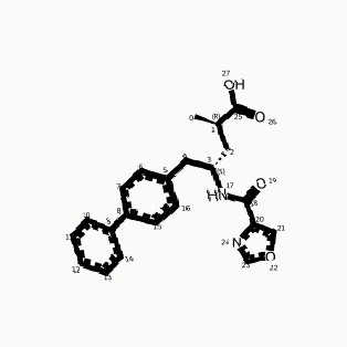 C[C@H](C[C@@H](Cc1ccc(-c2ccccc2)cc1)NC(=O)c1cocn1)C(=O)O